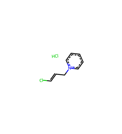 Cl.ClC=CC[n+]1ccccc1